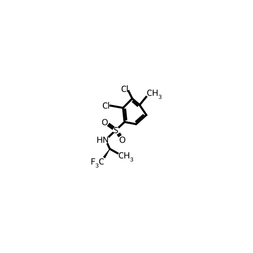 Cc1ccc(S(=O)(=O)N[C@@H](C)C(F)(F)F)c(Cl)c1Cl